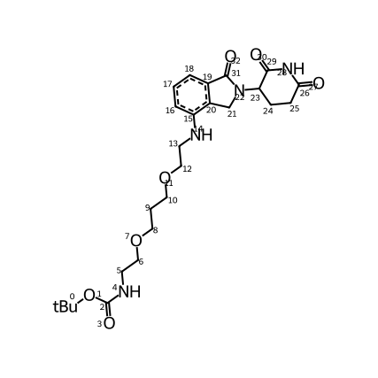 CC(C)(C)OC(=O)NCCOCCCOCCNc1cccc2c1CN(C1CCC(=O)NC1=O)C2=O